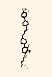 CCCCOc1ccc(C2CCC(CC/C=C/C3CCC(c4ccc(C)cc4)CC3)CC2)c(F)c1F